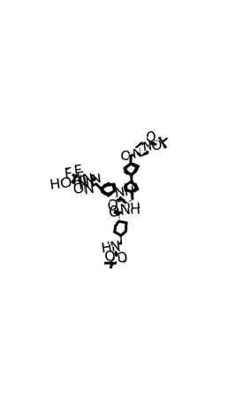 CC(C)(C)OC(=O)NC[C@H]1CC[C@H](C(=O)N[C@@H](Cc2ccc(-c3ccc(C(=O)N4CCN(C(=O)OC(C)(C)C)CC4)cc3)cc2)C(=O)Nc2ccc(-c3nn[nH]n3)cc2)CC1.O=C(O)C(F)(F)F